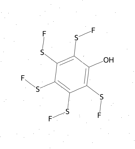 Oc1c(SF)c(SF)c(SF)c(SF)c1SF